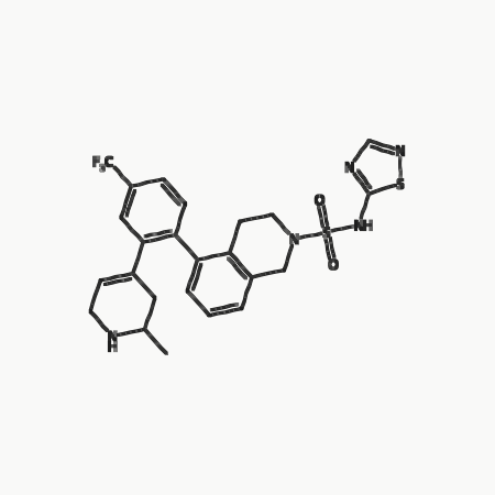 CC1CC(c2cc(C(F)(F)F)ccc2-c2cccc3c2CCN(S(=O)(=O)Nc2ncns2)C3)=CCN1